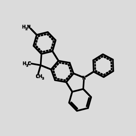 CC1(C)c2cc(N)ccc2-c2cc3c(cc21)C1C=CC=CC1N3c1ccccc1